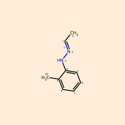 C/C=N/Nc1ccccc1C